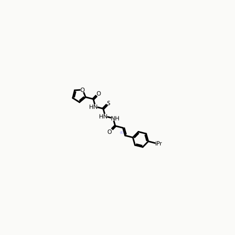 CC(C)c1ccc(/C=C/C(=O)NNC(=S)NC(=O)c2ccco2)cc1